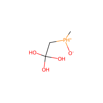 C[PH+]([O-])CC(O)(O)O